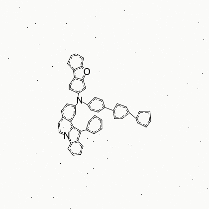 c1ccc(-c2ccc(-c3ccc(N(c4ccc5c(c4)oc4ccccc45)c4ccc5ccn6c7ccccc7c(-c7ccccc7)c6c5c4)cc3)cc2)cc1